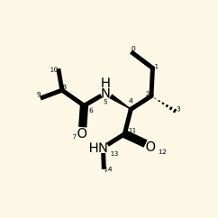 CC[C@H](C)[C@H](NC(=O)C(C)C)C(=O)NC